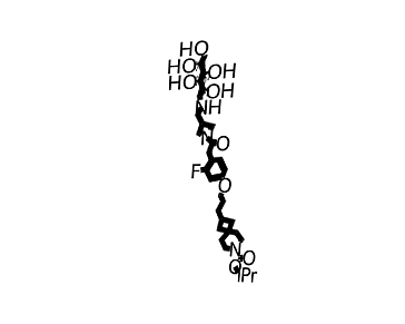 CC(C)OC(=O)N1CCC2(CC1)CC(CCCOc1ccc(CC(=O)N3CC(CNC[C@H](O)[C@@H](O)[C@H](O)[C@H](O)CO)C3)c(F)c1)C2